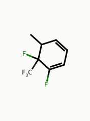 CC1C=CC=C(F)C1(F)C(F)(F)F